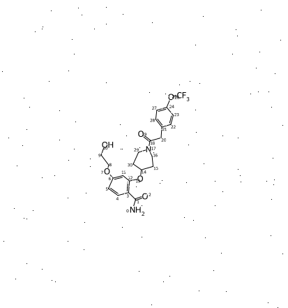 NC(=O)c1ccc(OCCO)cc1OC1CCN(C(=O)Cc2ccc(OC(F)(F)F)cc2)CC1